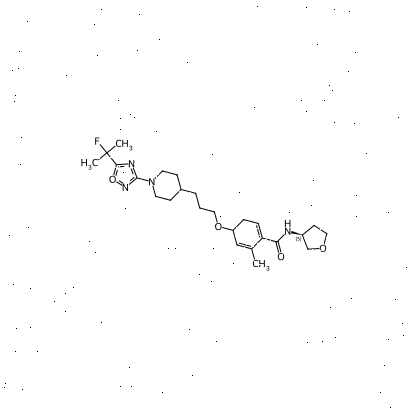 CC1=CC(OCCCC2CCN(c3noc(C(C)(C)F)n3)CC2)CC=C1C(=O)N[C@H]1CCOC1